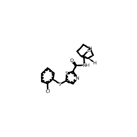 O=C(N[C@H]1CN2CCC1CC2)c1ncc(Sc2ccccc2Cl)s1